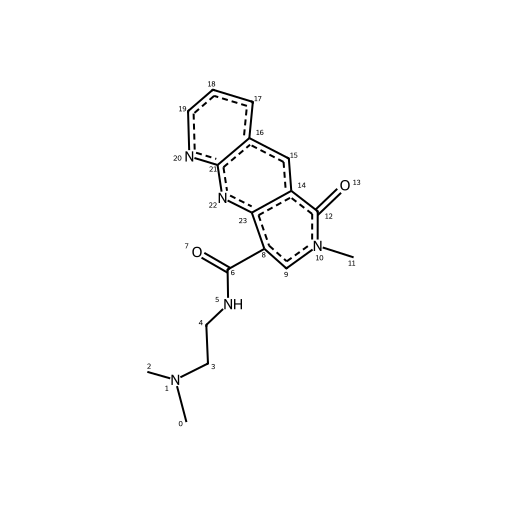 CN(C)CCNC(=O)c1cn(C)c(=O)c2cc3cccnc3nc12